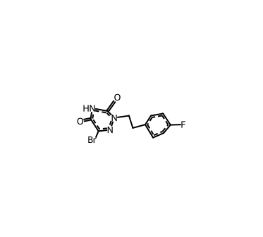 O=c1[nH]c(=O)n(CCc2ccc(F)cc2)nc1Br